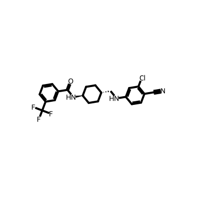 N#Cc1ccc(NC[C@H]2CC[C@H](NC(=O)c3cccc(C(F)(F)F)c3)CC2)cc1Cl